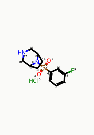 Cl.O=S(=O)(c1cccc(F)c1)N1C2CCC1CNC2